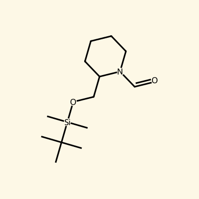 CC(C)(C)[Si](C)(C)OCC1CCCCN1C=O